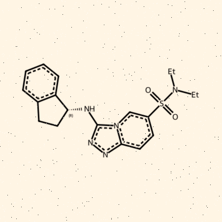 CCN(CC)S(=O)(=O)c1ccc2nnc(N[C@@H]3CCc4ccccc43)n2c1